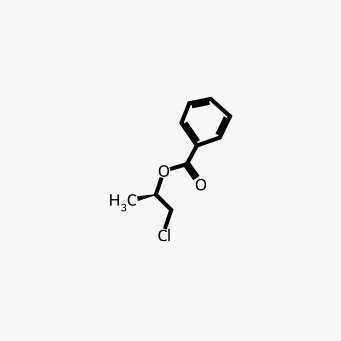 C[C@H](CCl)OC(=O)c1ccccc1